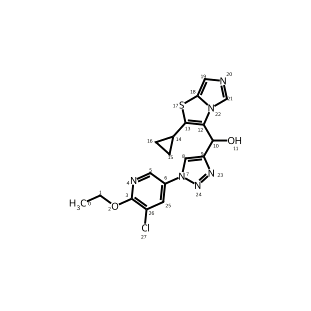 CCOc1ncc(-n2cc(C(O)c3c(C4CC4)sc4cncn34)nn2)cc1Cl